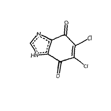 O=C1C(Cl)=C(Cl)C(=O)c2[nH]cnc21